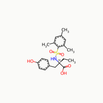 CC[C@@](Cc1ccc(O)cc1)(NS(=O)(=O)c1c(C)cc(C)cc1C)C(=O)O